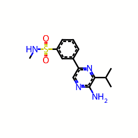 CNS(=O)(=O)c1cccc(-c2cnc(N)c(C(C)C)n2)c1